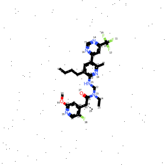 CCCCc1cc(-c2cc(C(F)(F)F)ncn2)c(C)nc1NCN(CC)C(=O)[C@H](C)c1cc(OC)ncc1F